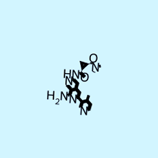 Cc1ccncc1-c1cc2cc(NC(=O)[C@@H]3C[C@@H]3C(=O)N(C)C)ncc2c(N)n1